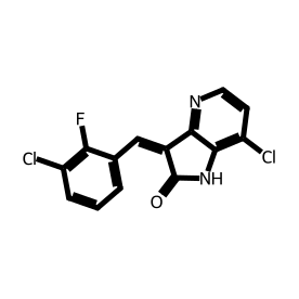 O=C1Nc2c(Cl)ccnc2C1=Cc1cccc(Cl)c1F